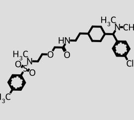 Cc1ccc(S(=O)(=O)N(C)CCOCC(=O)NCCC2CCC(C(c3ccc(Cl)cc3)N(C)C)CC2)cc1